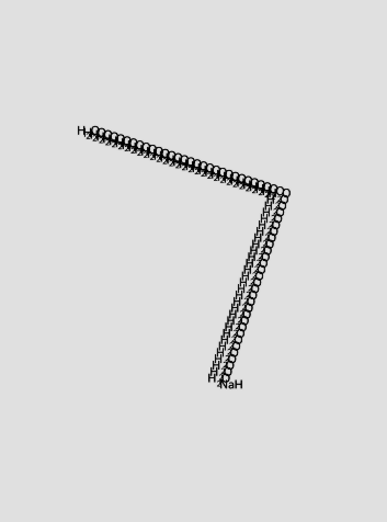 O.O.O.O.O.O.O.O.O.O.O.O.O.O.O.O.O.O.O.O.O.O.O.O.O.O.O.O.O.O.O.O.O.O.O.O.O.O.O.O.O.O.O.O.O.O.O.O.O.O.O.O.O.O.O.O.O.O.O.O.[NaH]